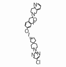 O=C(Cc1ccc(OCC[C@@H]2CCC3(CCN(c4ncc(Cl)cn4)CC3)C2)cc1F)N1CCc2ncccc2C1